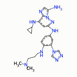 CN(C)CCCNc1ccc(Nc2cc(NC3CC3)c3ncc(N)n3n2)cc1-n1cnnc1